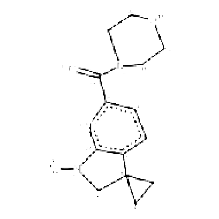 CC(=O)N1CC2(CC2)c2ccc(C(=O)N3CCOCC3)nc21